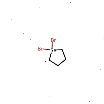 Br[Se]1(Br)CCCC1